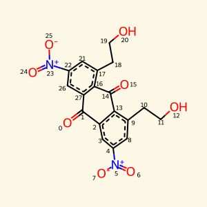 O=C1c2cc([N+](=O)[O-])cc(CCO)c2C(=O)c2c(CCO)cc([N+](=O)[O-])cc21